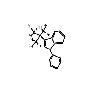 [2H]C([2H])([2H])C(c1cn(-c2ccccc2)c2ccccc12)(C([2H])([2H])[2H])C([2H])([2H])[2H]